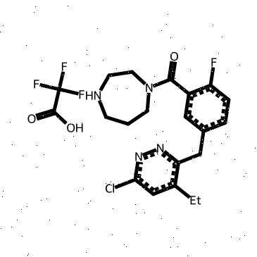 CCc1cc(Cl)nnc1Cc1ccc(F)c(C(=O)N2CCCNCC2)c1.O=C(O)C(F)(F)F